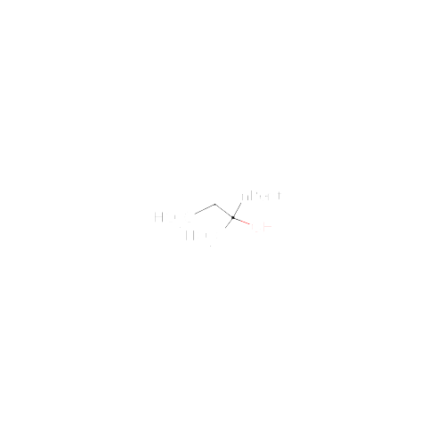 CCCCCC(O)(CC(=O)O)C(=O)O